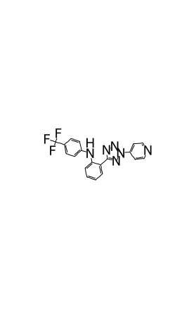 FC(F)(F)c1ccc(Nc2ccccc2-c2nnn(-c3ccncc3)n2)cc1